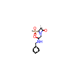 C[C@@H]1C(=O)N(CC(=O)NCc2ccccc2)[C@H]1S(C)(=O)=O